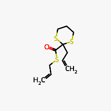 C=CCSC(=O)C1(CC=C)SCCCS1